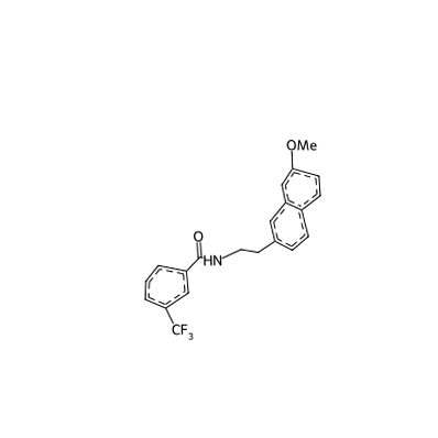 COc1ccc2ccc(CCNC(=O)c3cccc(C(F)(F)F)c3)cc2c1